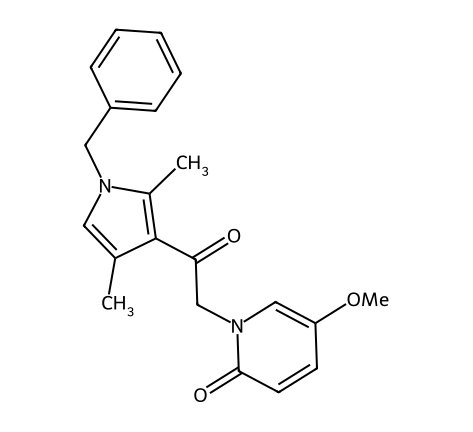 COc1ccc(=O)n(CC(=O)c2c(C)cn(Cc3ccccc3)c2C)c1